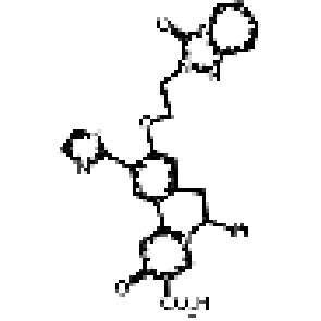 CC(C)C1Cc2cc(OCCn3nc4ccccn4c3=O)c(-c3nccs3)cc2-c2cc(=O)c(C(=O)O)cn21